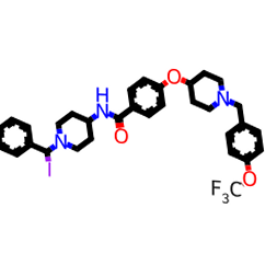 O=C(NC1CCN(C(I)c2ccccc2)CC1)c1ccc(OC2CCN(Cc3ccc(OC(F)(F)F)cc3)CC2)cc1